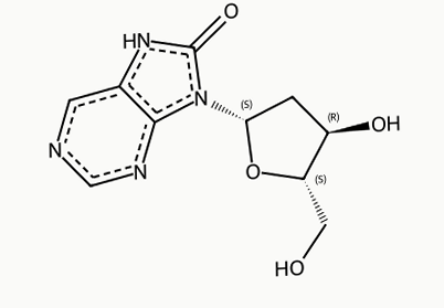 O=c1[nH]c2cncnc2n1[C@@H]1C[C@@H](O)[C@H](CO)O1